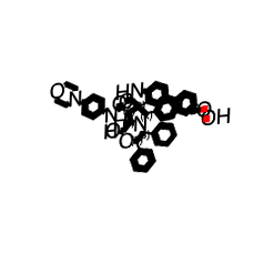 COc1ccc(-c2ccc3c(c2)[C@]2(C(=O)N3)[C@H](C(=O)Nc3ccc(N4CCOCC4)cc3)[C@H]3C(=O)O[C@H](c4ccccc4)[C@H](C4=CCCC=C4)N3[C@@H]2c2ccc(OCCO)cc2)cc1